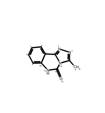 Cc1nnc2c3ccccc3[nH]c(=O)n12